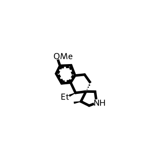 CC[C@H]1c2ccc(OC)cc2CC[C@@]12CNC[C@H]2C